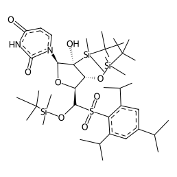 CC(C)c1cc(C(C)C)c(S(=O)(=O)C(O[Si](C)(C)C(C)(C)C)[C@H]2O[C@@H](n3ccc(=O)[nH]c3=O)[C@@](O)([Si](C)(C)C(C)(C)C)[C@@H]2O[Si](C)(C)C(C)(C)C)c(C(C)C)c1